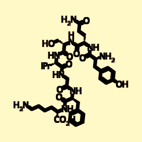 CC(C)[C@H](NC(=O)[C@H](CO)NC(=O)[C@H](CCC(N)=O)NC(=O)[C@@H](N)Cc1ccc(O)cc1)C(=O)NCC(=O)N[C@@H](Cc1ccccc1)C(=O)N[C@@H](CCCCN)C(=O)O